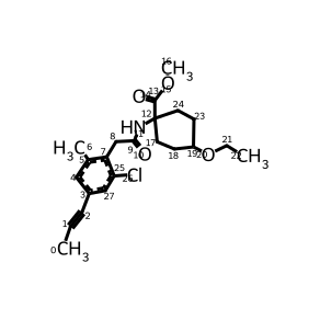 CC#Cc1cc(C)c(CC(=O)NC2(C(=O)OC)CCC(OCC)CC2)c(Cl)c1